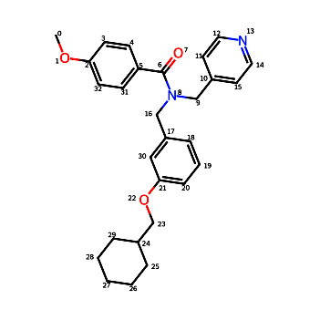 COc1ccc(C(=O)N(Cc2ccncc2)Cc2cccc(OCC3CCCCC3)c2)cc1